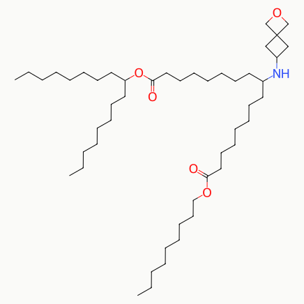 CCCCCCCCCOC(=O)CCCCCCCC(CCCCCCCC(=O)OC(CCCCCCCC)CCCCCCCC)NC1CC2(COC2)C1